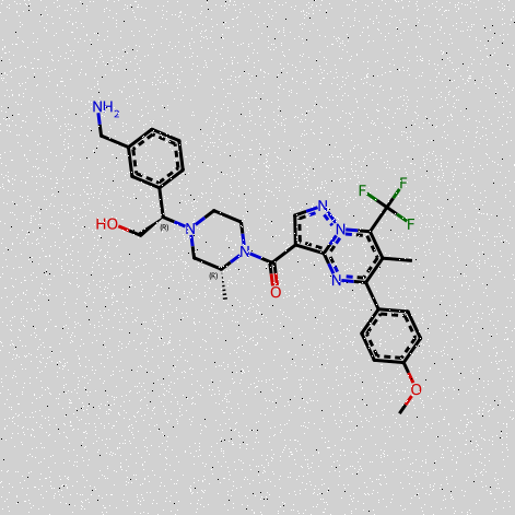 COc1ccc(-c2nc3c(C(=O)N4CCN([C@@H](CO)c5cccc(CN)c5)C[C@H]4C)cnn3c(C(F)(F)F)c2C)cc1